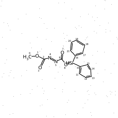 COC(=O)N=NC(=O)O[SiH](c1ccccc1)c1ccccc1